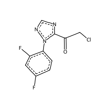 O=C(CCl)c1ncnn1-c1ccc(F)cc1F